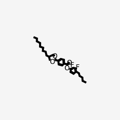 CCCCCCCCCC1COC(c2ccc(C(=O)Oc3ccc(CCCCC)c(F)c3F)cc2)OC1